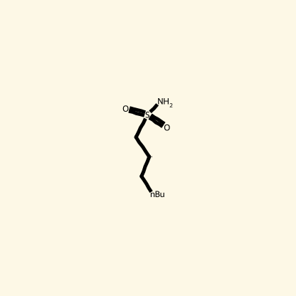 CCCCC[CH]CS(N)(=O)=O